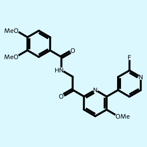 COc1ccc(C(=O)NCC(=O)c2ccc(OC)c(-c3ccnc(F)c3)n2)cc1OC